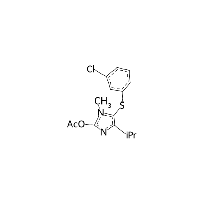 CC(=O)Oc1nc(C(C)C)c(Sc2cccc(Cl)c2)n1C